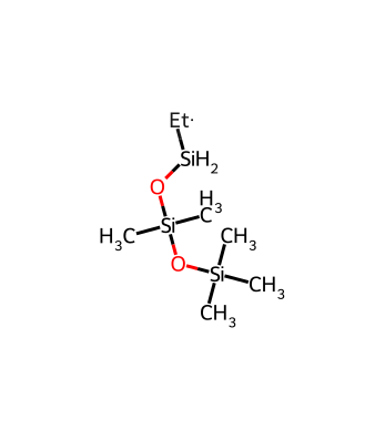 C[CH][SiH2]O[Si](C)(C)O[Si](C)(C)C